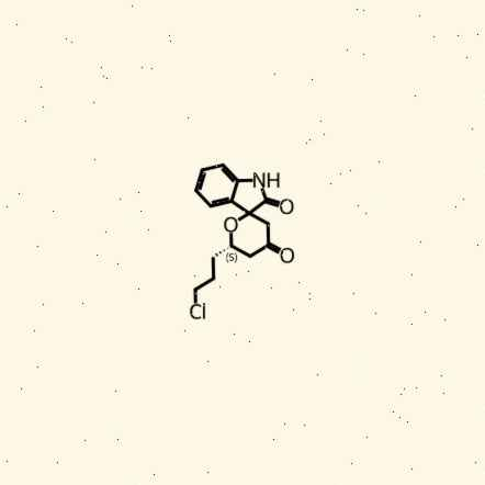 O=C1C[C@H](CCCCl)OC2(C1)C(=O)Nc1ccccc12